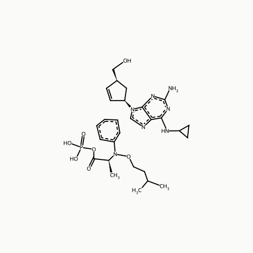 CC(C)CCON(c1ccccc1)[C@@H](C)C(=O)OP(=O)(O)O.Nc1nc(NC2CC2)c2ncn([C@H]3C=C[C@@H](CO)C3)c2n1